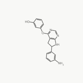 Nc1cccc(C2Cc3c(ncnc3Oc3cccc(O)c3)N2)c1